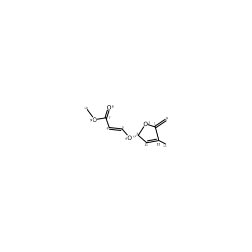 C=C1O[C@@H](O/C=C/C(=O)OC)C=C1C